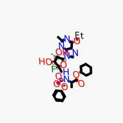 CCOC1=NC(C)=NC2C1N=CN2[C@@H]1O[C@](F)(COP(=O)(NC(C)C(=O)OC2CCCCC2)Oc2ccccc2)[C@@H](O)[C@@]1(C)O